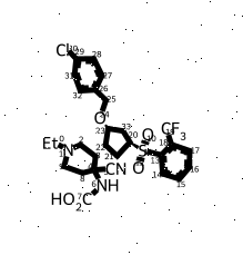 CCN1CCC(C#N)(NC(=O)O)CC1.O=S(=O)(c1ccccc1C(F)(F)F)[C@H]1CC[C@H](OCc2ccc(Cl)cc2)C1